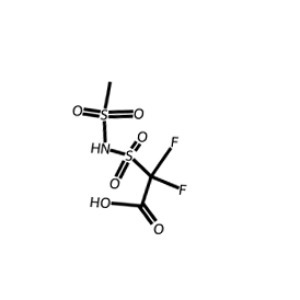 CS(=O)(=O)NS(=O)(=O)C(F)(F)C(=O)O